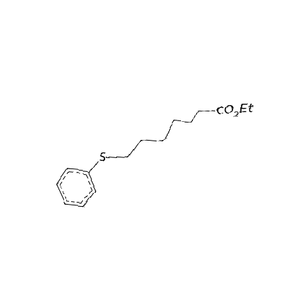 CCOC(=O)CCCCCCSc1ccccc1